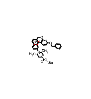 C[C@@H]1CN(C(=O)OC(C)(C)C)C[C@H](C)N1c1cccc(N(C)c2ccc(OCc3ccccc3)nc2OCc2ccccc2)c1